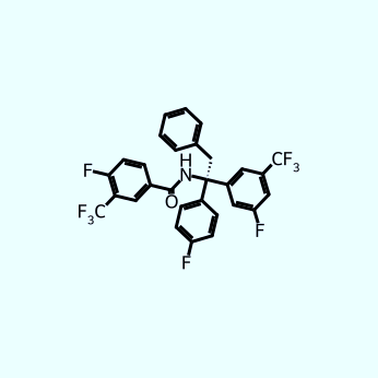 O=C(N[C@](Cc1ccccc1)(c1ccc(F)cc1)c1cc(F)cc(C(F)(F)F)c1)c1ccc(F)c(C(F)(F)F)c1